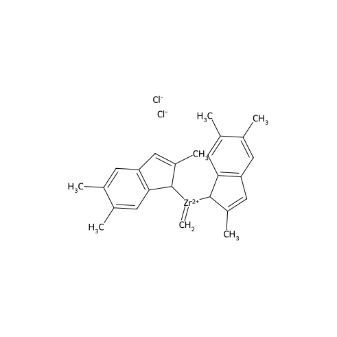 [CH2]=[Zr+2]([CH]1C(C)=Cc2cc(C)c(C)cc21)[CH]1C(C)=Cc2cc(C)c(C)cc21.[Cl-].[Cl-]